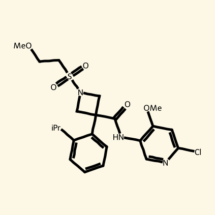 COCCS(=O)(=O)N1CC(C(=O)Nc2cnc(Cl)cc2OC)(c2ccccc2C(C)C)C1